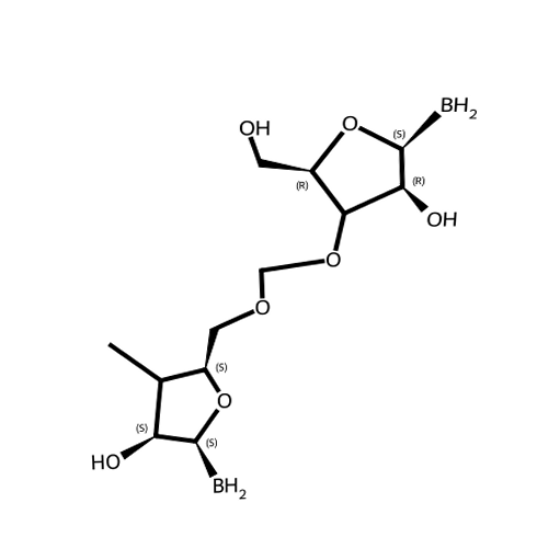 B[C@@H]1O[C@H](COCOC2[C@@H](CO)O[C@@H](B)[C@H]2O)C(C)[C@@H]1O